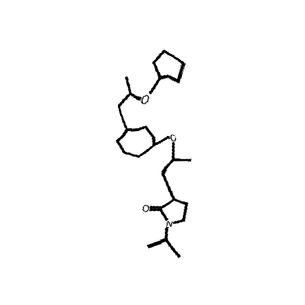 CC(CC1CCCC(OC(C)CC2CCN(C(C)C)C2=O)C1)OC1CCCC1